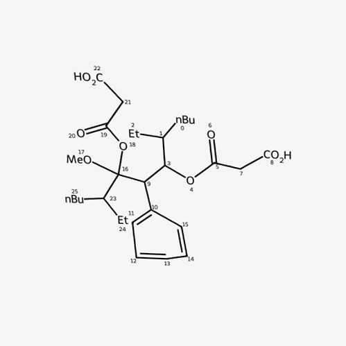 CCCCC(CC)C(OC(=O)CC(=O)O)C(c1ccccc1)C(OC)(OC(=O)CC(=O)O)C(CC)CCCC